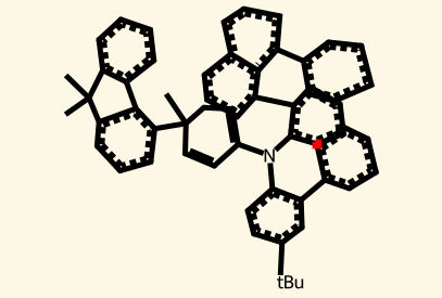 CC(C)(C)c1ccc(N(C2=CCC(C)(c3cccc4c3-c3ccccc3C4(C)C)C=C2)c2ccccc2-c2cccc3cccc(-c4ccccc4)c23)c(-c2ccccc2)c1